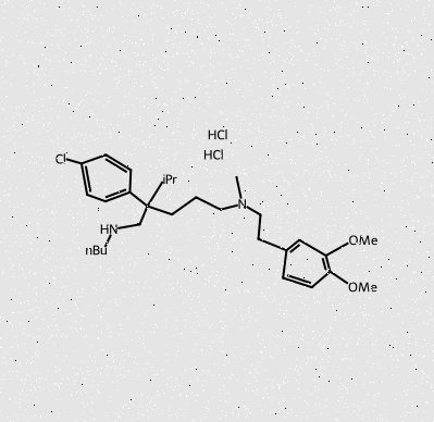 CCCCNCC(CCCN(C)CCc1ccc(OC)c(OC)c1)(c1ccc(Cl)cc1)C(C)C.Cl.Cl